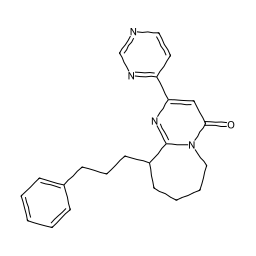 O=c1cc(-c2ccncn2)nc2n1CCCCC2CCCc1ccccc1